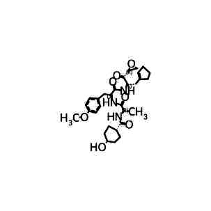 COc1ccc(C[C@H](NC(=O)[C@@H](C)NC(=O)[C@H]2CC[C@@H](O)CC2)C(=O)N[C@@H](CC2=CCCC2)C(=O)[C@H]2CO2)cc1